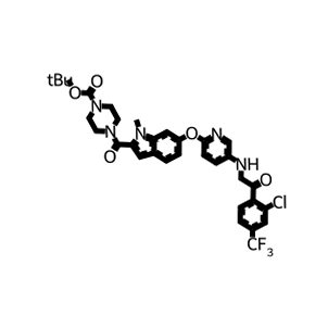 Cn1c(C(=O)N2CCN(C(=O)OC(C)(C)C)CC2)cc2ccc(Oc3ccc(NCC(=O)c4ccc(C(F)(F)F)cc4Cl)cn3)cc21